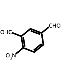 O=Cc1ccc([N+](=O)[O-])c(C=O)c1